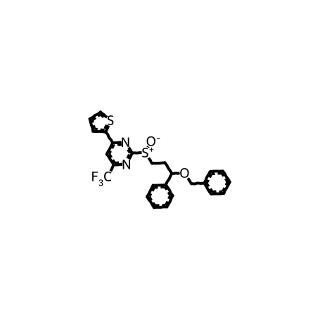 [O-][S+](CCC(OCc1ccccc1)c1ccccc1)c1nc(-c2cccs2)cc(C(F)(F)F)n1